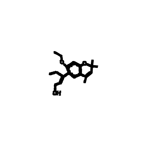 CCOc1cc2c(cc1C(=CCO)CC)C(C)=CC(C)(C)O2